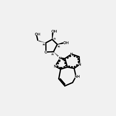 OC[C@H]1O[C@@H](n2nc3c4c(ncnc42)NCC=C3)[C@H](O)[C@@H]1O